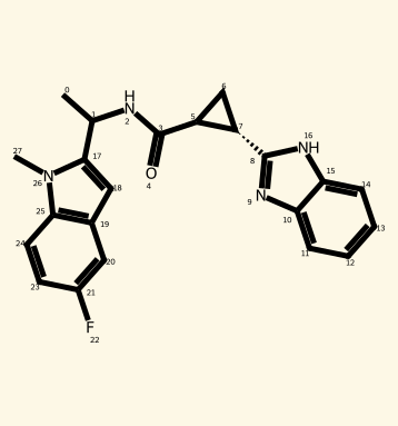 CC(NC(=O)C1C[C@@H]1c1nc2ccccc2[nH]1)c1cc2cc(F)ccc2n1C